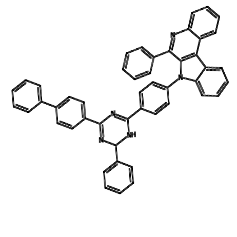 c1ccc(-c2ccc(C3=NC(c4ccccc4)NC(c4ccc(-n5c6ccccc6c6c7ccccc7nc(-c7ccccc7)c65)cc4)=N3)cc2)cc1